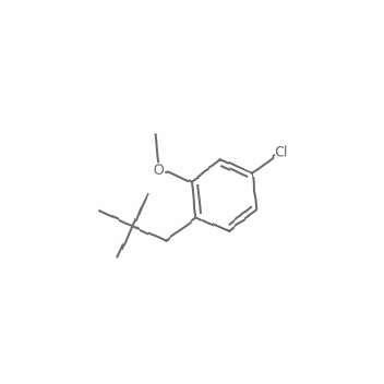 COc1cc(Cl)ccc1CC(C)(C)C